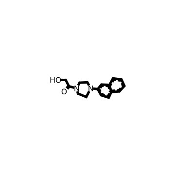 O=C(CO)N1CCN(c2ccc3ccccc3c2)CC1